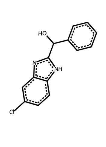 OC(c1ccccc1)c1nc2cc(Cl)ccc2[nH]1